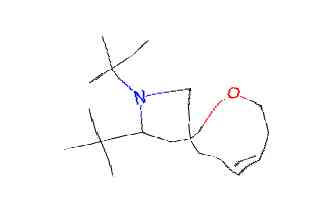 CC(C)(C)C1CC2(CC=CCO2)CN1C(C)(C)C